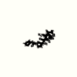 Cc1nnc2sc(C(=O)NC3CCN(C(=O)Oc4ccccc4)C3)c(N)c2c1C